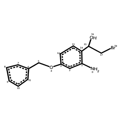 Nc1cc(OCc2ccccc2)ccc1C(O)CBr